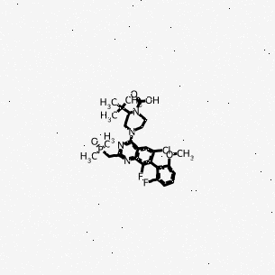 COc1cccc(F)c1-c1c(Cl)cc2c(N3CCN(C(=O)O)C(C(C)(C)C)C3)nc(CP(C)(C)=O)nc2c1F